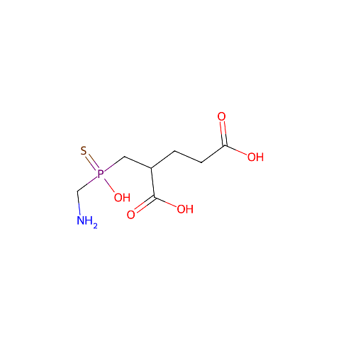 NCP(O)(=S)CC(CCC(=O)O)C(=O)O